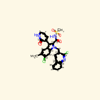 Cc1cc2c(-c3ccc[nH]c3=O)c(C(=O)NS(C)(=O)=O)n(Cc3cc4ccccc4nc3Cl)c2cc1Cl